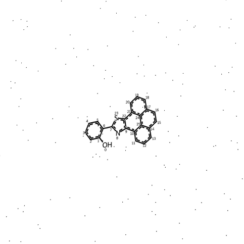 Oc1ccccc1-c1nc2c3cccc4ccc5cccc(c2s1)c5c43